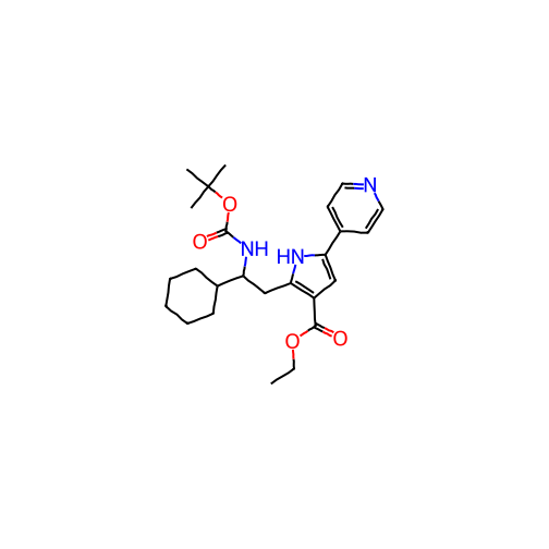 CCOC(=O)c1cc(-c2ccncc2)[nH]c1CC(NC(=O)OC(C)(C)C)C1CCCCC1